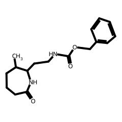 CC1CCCC(=O)NC1CCNC(=O)OCc1ccccc1